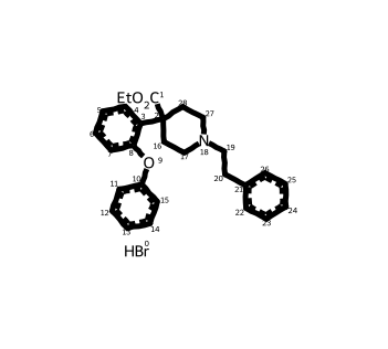 Br.CCOC(=O)C1(c2ccccc2Oc2ccccc2)CCN(CCc2ccccc2)CC1